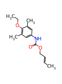 CC=CCOC(=O)Nc1cc(C)c(OCC)c(C)c1